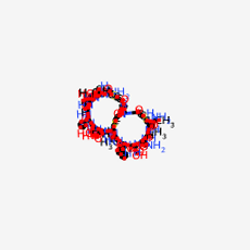 C[C@H](N)C(=O)N[C@H]1CSCCC(=O)N2CC34CN5CC3(C2)CN(C4)C(=O)CCSC[C@@H](NC(=O)[C@@H](C)NC(=O)[C@H](Cc2cccc3ccccc23)NC(=O)[C@H](CCC(=O)O)NC(=O)[C@H](CC(N)=O)NC(=O)[C@@H](C)NC1=O)C(=O)N[C@@H](CCC(=O)O)C(=O)N[C@@H](CC(=O)O)C(=O)N[C@@H](Cc1ccccc1)C(=O)N[C@@H](Cc1ccc(O)cc1)C(=O)N[C@@H](CC(=O)O)C(=O)N[C@@H](C(C)(C)C)C(=O)N[C@H](C(N)=O)CSCCC5=O